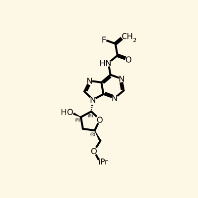 C=C(F)C(=O)Nc1ncnc2c1ncn2[C@@H]1O[C@@H](COC(C)C)C[C@H]1O